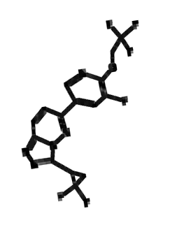 Fc1cc(-c2ccc3nnc(C4CC4(F)F)n3n2)cnc1OCC(F)(F)F